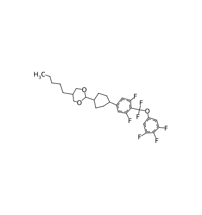 CCCCCC1COC(C2CCC(c3cc(F)c(C(F)(F)Oc4cc(F)c(F)c(F)c4)c(F)c3)CC2)OC1